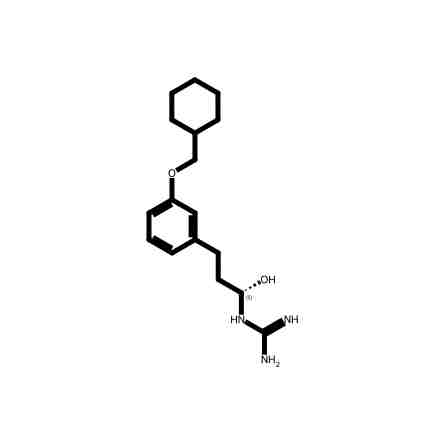 N=C(N)N[C@@H](O)CCc1cccc(OCC2CCCCC2)c1